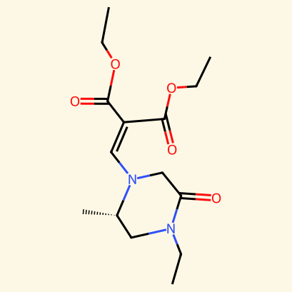 CCOC(=O)C(=CN1CC(=O)N(CC)C[C@@H]1C)C(=O)OCC